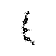 C=CC(=O)OCC1CC2C3CC(CC3COC(=O)c3cc(O)cc(C(=O)OCC4CC5C6CC(CC6COC(=O)C(=C)C)[C@H]5C4)c3)[C@H]2C1